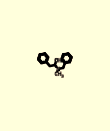 CN(Cc1ccccc1)C(O)Cc1ccccc1